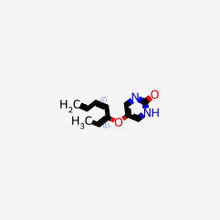 C=C/C=C\C(=C/C)Oc1cnc(=O)[nH]c1